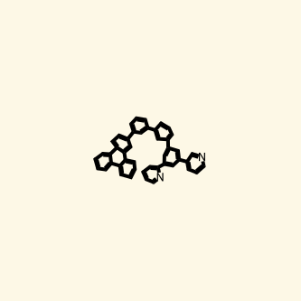 c1ccc(-c2cc(-c3cccnc3)cc(-c3cccc(-c4cccc(-c5ccc6c7ccccc7c7ccccc7c6c5)c4)c3)c2)nc1